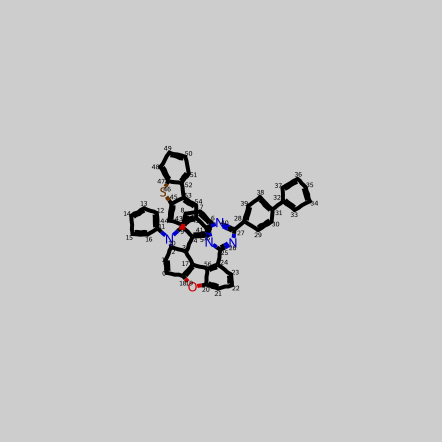 C1=CC2C(c3ccccc3N2c2ccccc2)c2c1oc1cccc(-c3nc(-c4ccc(-c5ccccc5)cc4)nc(-c4ccc5sc6ccccc6c5c4)n3)c21